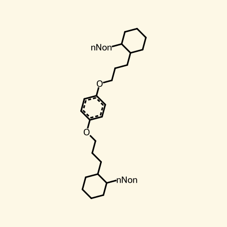 CCCCCCCCCC1CCCCC1CCCOc1ccc(OCCCC2CCCCC2CCCCCCCCC)cc1